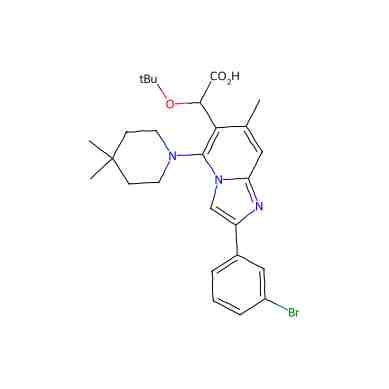 Cc1cc2nc(-c3cccc(Br)c3)cn2c(N2CCC(C)(C)CC2)c1C(OC(C)(C)C)C(=O)O